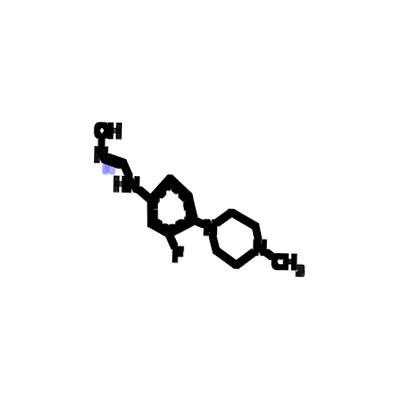 CN1CCN(c2ccc(N/C=N/O)cc2F)CC1